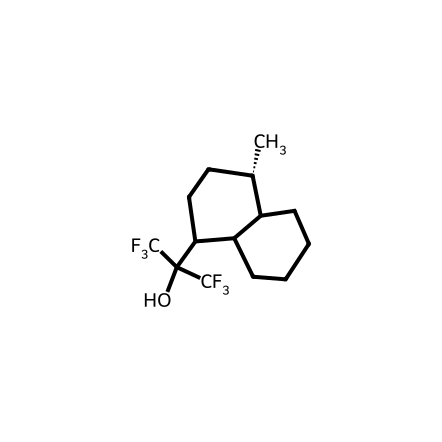 C[C@H]1CCC(C(O)(C(F)(F)F)C(F)(F)F)C2CCCCC21